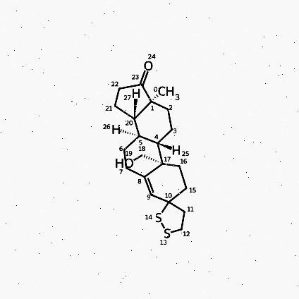 C[C@]12CC[C@H]3[C@@H](CCC4=CC5(CCSS5)CC[C@@]43CO)[C@@H]1CCC2=O